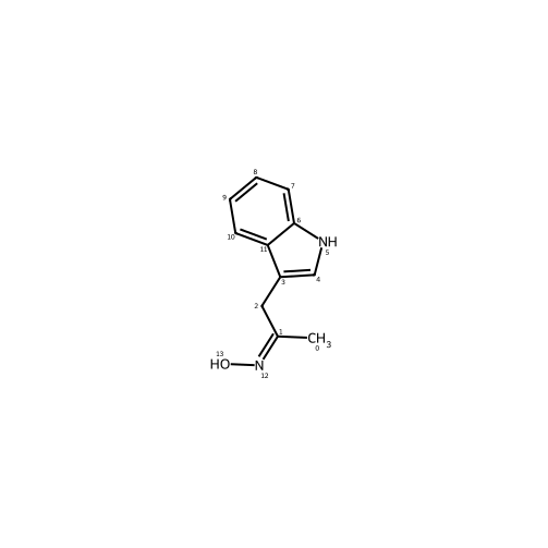 C/C(Cc1c[nH]c2ccccc12)=N/O